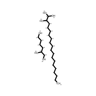 CCCCCCCCCCCCCCCCCC(O)C(O)O.OCCCCC(O)CO